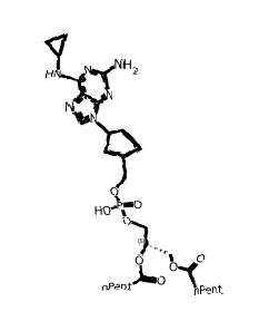 CCCCCC(=O)OC[C@@H](COP(=O)(O)OCC1C=CC(n2cnc3c(NC4CC4)nc(N)nc32)C1)OC(=O)CCCCC